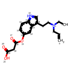 C=CCN(CC)CCc1c[nH]c2ccc(OC(=O)CC(=O)O)cc12